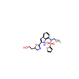 CCN(c1cccc2cc(C3=NCC(CCO)S3)[nH]c12)S(=O)(=O)c1cccs1